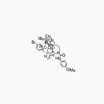 COc1ccc(NC(=O)N2CCCC(C)N3[C@@H](C2)C(C)[C@H](Cc2ccc(Br)cc2)C3(C)[SiH2]O[Si](C)(C)C(C)(C)C)cc1